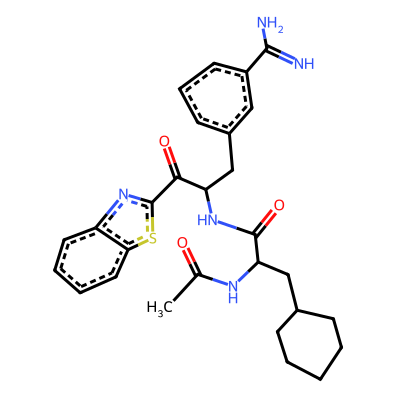 CC(=O)NC(CC1CCCCC1)C(=O)NC(Cc1cccc(C(=N)N)c1)C(=O)c1nc2ccccc2s1